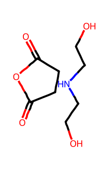 O=C1CCC(=O)O1.OCCNCCO